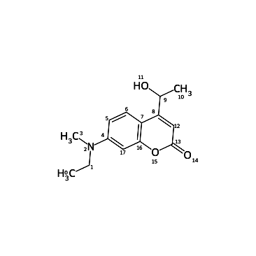 CCN(C)c1ccc2c(C(C)O)cc(=O)oc2c1